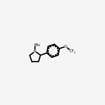 CC(C)(C)N1CCCC1c1ccc(OC(F)(F)F)cc1